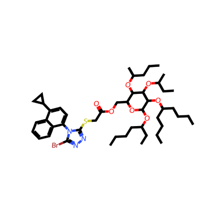 CCCCC(CC)OC1OC(COC(=O)CSc2nnc(Br)n2-c2ccc(C3CC3)c3ccccc23)C(OC(C)CCC)C(OC(C)CC)C1OC(CCCC)CCCC